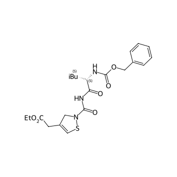 CCOC(=O)CC1=CSN(C(=O)NC(=O)[C@@H](NC(=O)OCc2ccccc2)[C@@H](C)CC)C1